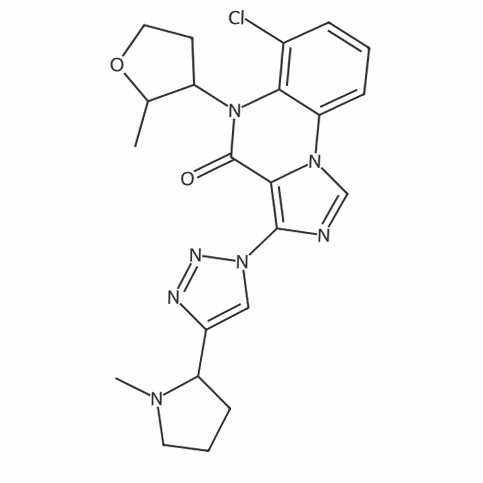 CC1OCCC1n1c(=O)c2c(-n3cc(C4CCCN4C)nn3)ncn2c2cccc(Cl)c21